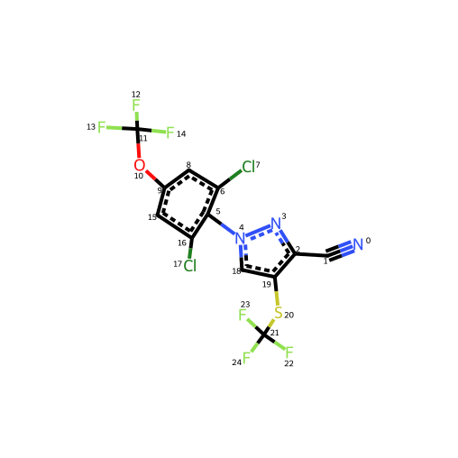 N#Cc1nn(-c2c(Cl)cc(OC(F)(F)F)cc2Cl)cc1SC(F)(F)F